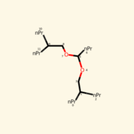 CCCC(CCC)COC(CCC)OCC(CCC)CCC